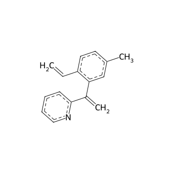 C=Cc1ccc(C)cc1C(=C)c1ccccn1